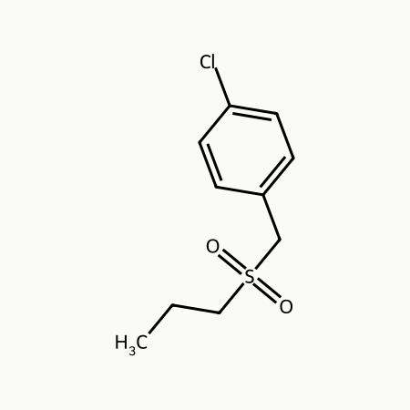 CCCS(=O)(=O)Cc1ccc(Cl)cc1